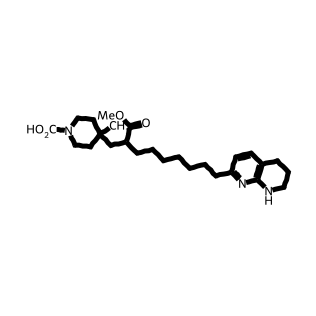 COC(=O)C(CCCCCCCc1ccc2c(n1)NCCC2)CC1(C)CCN(C(=O)O)CC1